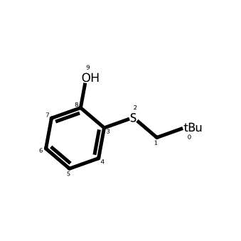 CC(C)(C)CSc1ccccc1O